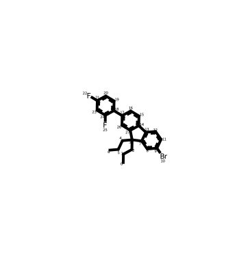 CCCC1(CCC)c2cc(Br)ccc2-c2ccc(-c3ccc(F)cc3F)cc21